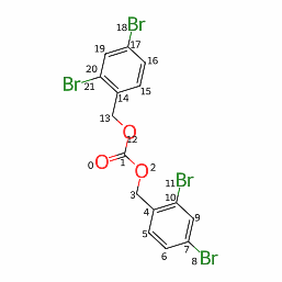 O=C(OCc1ccc(Br)cc1Br)OCc1ccc(Br)cc1Br